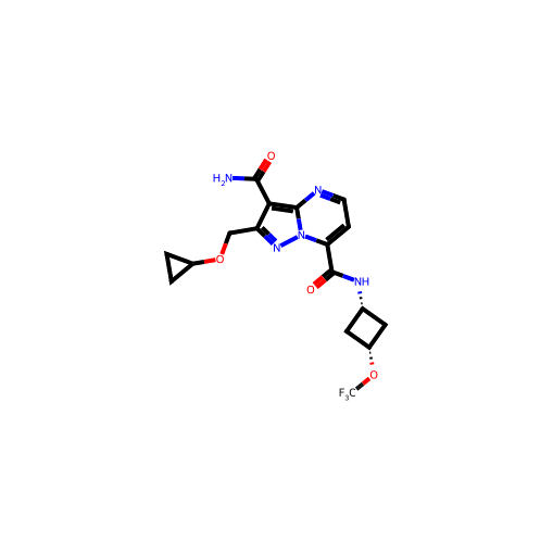 NC(=O)c1c(COC2CC2)nn2c(C(=O)N[C@H]3C[C@@H](OC(F)(F)F)C3)ccnc12